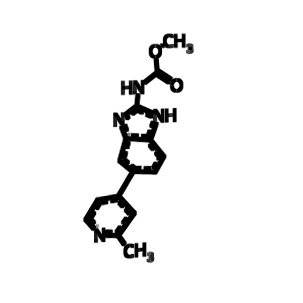 COC(=O)Nc1nc2cc(-c3ccnc(C)c3)ccc2[nH]1